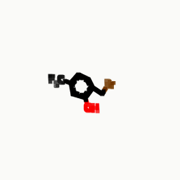 Oc1cc(C(F)(F)F)ccc1CBr